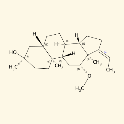 C/C=C1/CC[C@H]2[C@@H]3CC[C@H]4C[C@](C)(O)CC[C@]4(C)[C@H]3C[C@@H](OC)[C@]12C